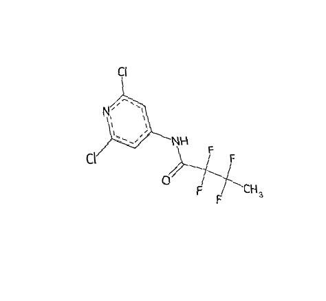 CC(F)(F)C(F)(F)C(=O)Nc1cc(Cl)nc(Cl)c1